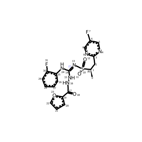 C[C@H](Cc1ncc(F)cn1)S(=O)(=O)/N=C(\NNC(=O)c1ccco1)Nc1ccccc1F